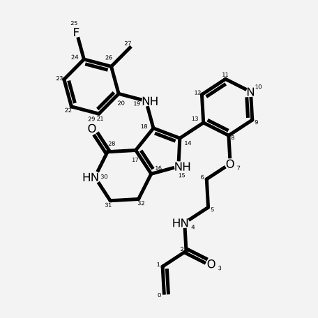 C=CC(=O)NCCOc1cnccc1-c1[nH]c2c(c1Nc1cccc(F)c1C)C(=O)NCC2